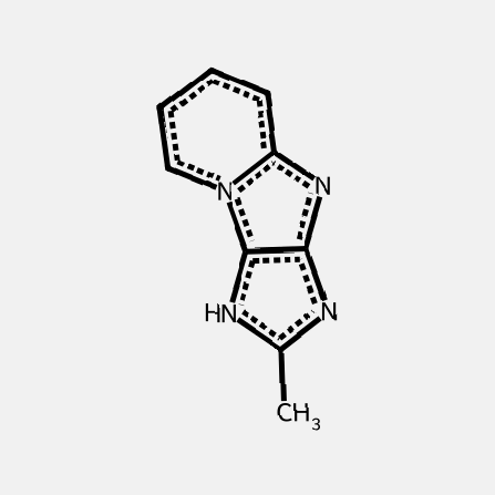 Cc1nc2nc3ccccn3c2[nH]1